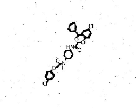 O=C(COc1ccc(Cl)cc1)N[C@H]1CC[C@H](NC(=O)COc2ccc(Cl)cc2C(=O)c2ccccc2)CC1